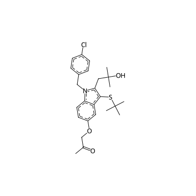 CC(=O)COc1ccc2c(c1)c(SC(C)(C)C)c(CC(C)(C)O)n2Cc1ccc(Cl)cc1